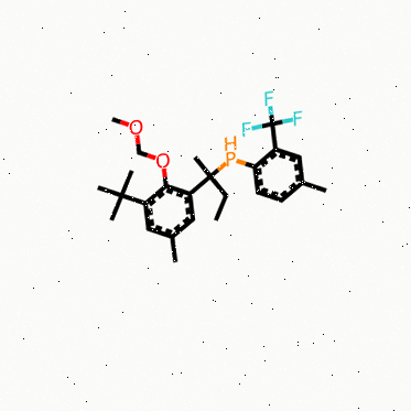 CCC(C)(Pc1ccc(C)cc1C(F)(F)F)c1cc(C)cc(C(C)(C)C)c1OCOC